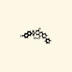 COC[C@H]1CN(S(=O)(=O)c2ccc3cc(Cl)ccc3c2)CC(=O)N1CC1CCN(c2ccncc2)CC1